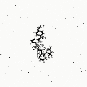 CCOc1ccc(Nc2cccc(S(=O)(=O)NC(=O)c3cccnc3N3CC(C)CC3(C)C)n2)cc1